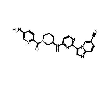 N#Cc1ccc2ncc(-c3nccc(NC4CCCN(C(=O)c5ccc(N)cn5)C4)n3)n2c1